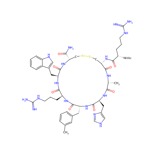 CC(=O)N[C@@H](CCCNC(=N)N)C(=O)N[C@H]1CSSC[C@@H](C(N)=O)NC(=O)[C@H](Cc2c[nH]c3ccccc23)NC(=O)[C@H](CCCNC(=N)N)NC(=O)[C@@H](Cc2cccc(C)c2)NC(=O)[C@H](Cc2c[nH]cn2)NC(=O)[C@@H](C)NC1=O